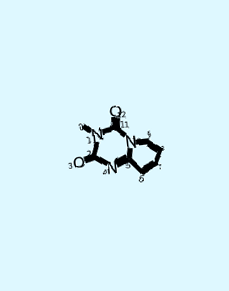 Cn1c(=O)nc2ccccn2c1=O